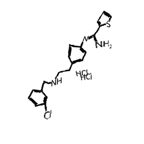 Cl.Cl.NC(=Nc1ccc(CCNCc2cccc(Cl)c2)cc1)c1cccs1